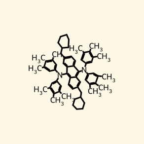 Cc1cc(N(c2cc(C)c(C)c(C)c2)c2c3ccc(CC4CCCCC4)cc3c(N(c3cc(C)c(C)c(C)c3)c3cc(C)c(C)c(C)c3)c3ccc(CC4CCCCC4)cc23)cc(C)c1C